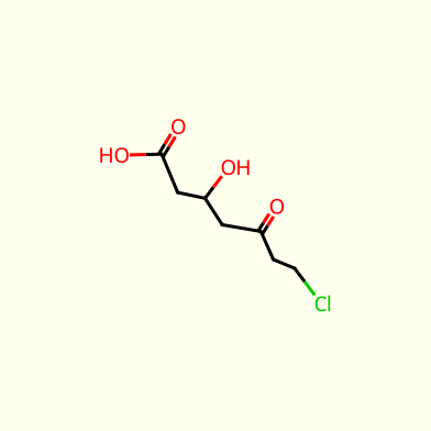 O=C(O)CC(O)CC(=O)CCCl